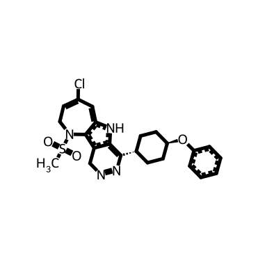 CS(=O)(=O)N1CC=C(Cl)C=c2[nH]c3c(c21)CN=NC=3[C@H]1CC[C@H](Oc2ccccc2)CC1